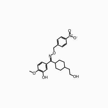 COc1ccc(C(=NOCc2ccc([N+](=O)[O-])cc2)C2CCC(CCO)CC2)cc1O